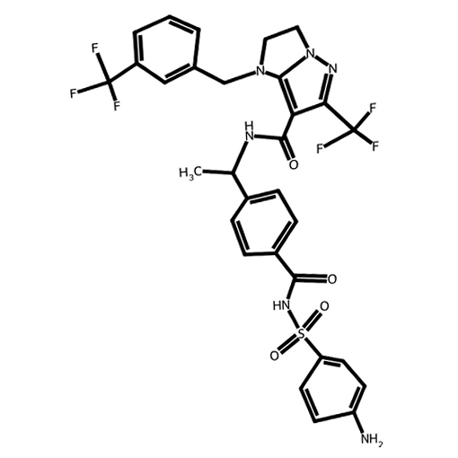 CC(NC(=O)c1c(C(F)(F)F)nn2c1N(Cc1cccc(C(F)(F)F)c1)CC2)c1ccc(C(=O)NS(=O)(=O)c2ccc(N)cc2)cc1